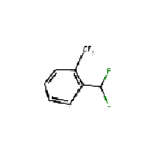 FC(F)c1[c]cccc1C(F)(F)F